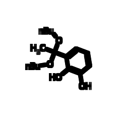 CCCCOC(C)(OCCCC)c1cccc(O)c1O